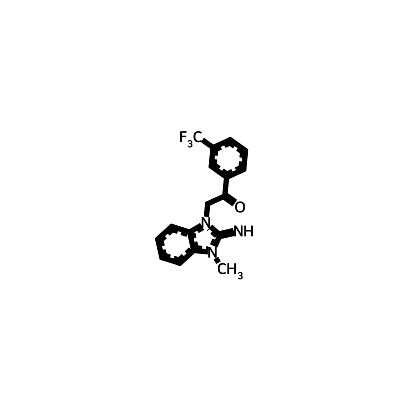 Cn1c(=N)n(CC(=O)c2cccc(C(F)(F)F)c2)c2ccccc21